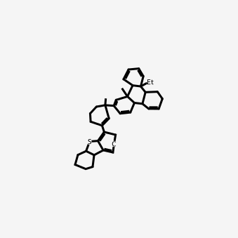 CCC12C=CC=CC1C1(C)C=C(C3(C)C=C(C4=C5SC6CCCCC6C5=CCC4)CCC3)C=CC1C1C=CCCC12